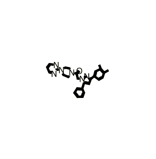 Cc1ccc(-c2cc(-c3ccccc3)n(CC(=O)N3CCN(c4ncccn4)CC3)n2)cc1C